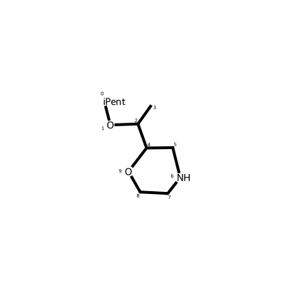 CCCC(C)OC(C)C1CNCCO1